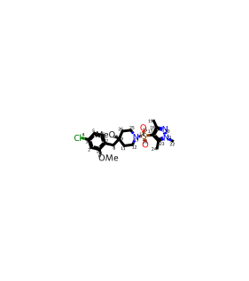 COc1cc(Cl)ccc1CC1(OC)CCN(S(=O)(=O)c2c(C)nn(C)c2C)CC1